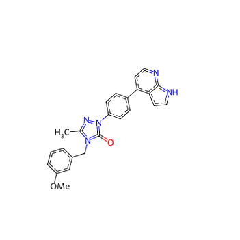 COc1cccc(Cn2c(C)nn(-c3ccc(-c4ccnc5[nH]ccc45)cc3)c2=O)c1